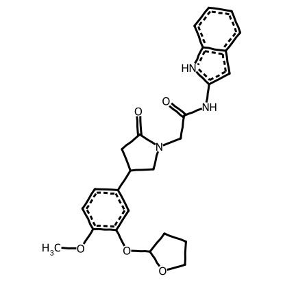 COc1ccc(C2CC(=O)N(CC(=O)Nc3cc4ccccc4[nH]3)C2)cc1OC1CCCO1